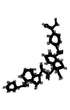 COC(=O)c1ccc(Nc2nccc3c(NC(=O)c4csc5c(Nc6ccccc6)ncnc45)c(C)ccc23)cc1